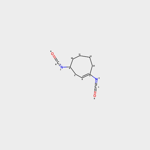 O=C=N/C1=C/CC(N=C=O)CCCC1